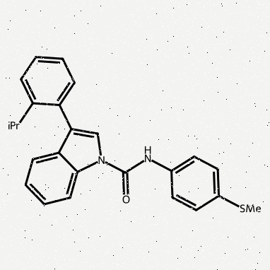 CSc1ccc(NC(=O)n2cc(-c3ccccc3C(C)C)c3ccccc32)cc1